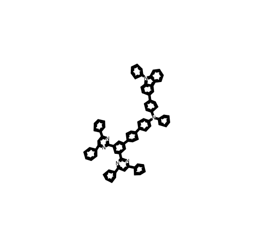 c1ccc(-c2cc(-c3ccccc3)nc(-c3cc(-c4ccc(-c5ccc(N(c6ccccc6)c6ccc(-c7ccc8c(c7)c7ccccc7n8-c7ccccc7)cc6)cc5)cc4)cc(-c4nc(-c5ccccc5)cc(-c5ccccc5)n4)c3)n2)cc1